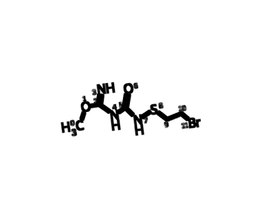 COC(=N)NC(=O)NSCCBr